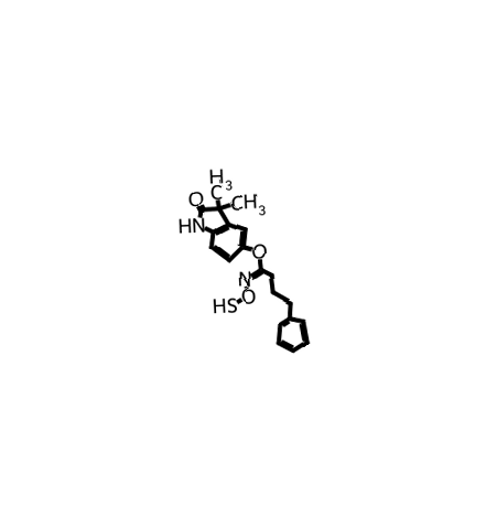 CC1(C)C(=O)Nc2ccc(OC(CCCc3ccccc3)=NOS)cc21